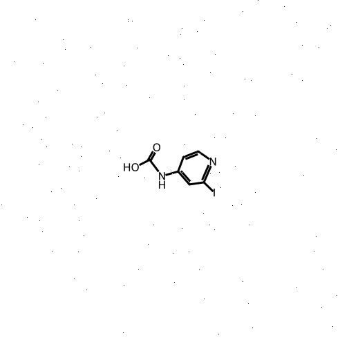 O=C(O)Nc1ccnc(I)c1